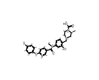 C[C@H]1CN(Cc2ccc(N(C)C(=O)c3ccc(Oc4ccc(F)cc4)nc3)cc2Cl)CCN1C(=O)O